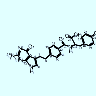 Nc1nc(=O)c2c(CCc3ccc(C(=O)NC(Cc4ccc(O)cc4)C(=O)O)cc3)c[nH]c2[nH]1